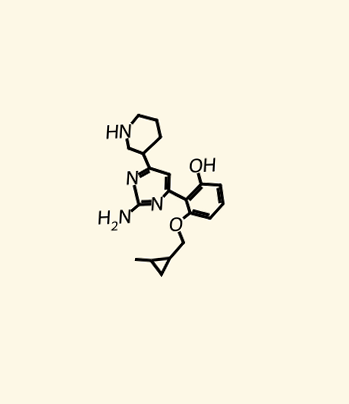 CC1CC1COc1cccc(O)c1-c1cc(C2CCCNC2)nc(N)n1